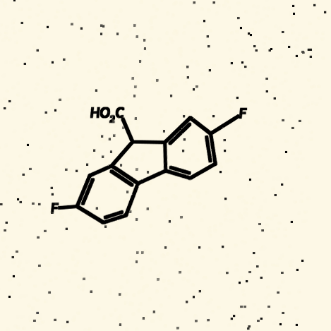 O=C(O)C1c2cc(F)ccc2-c2ccc(F)cc21